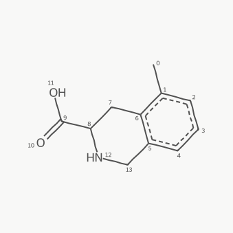 Cc1cccc2c1CC(C(=O)O)NC2